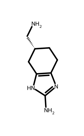 NC[C@@H]1CCc2nc(N)[nH]c2C1